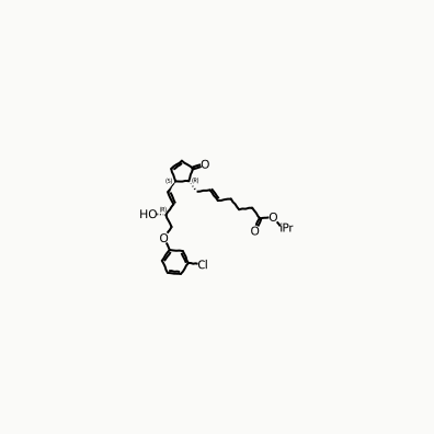 CC(C)OC(=O)CCCC=CC[C@H]1C(=O)C=C[C@@H]1C=C[C@@H](O)COc1cccc(Cl)c1